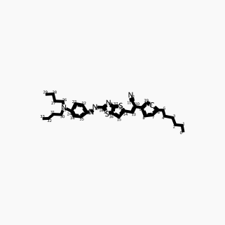 CCCCCCc1ccc(/C(C#N)=C/c2cc3sc(/N=N/c4ccc(N(CCCC)CCCC)cc4)nc3s2)cc1